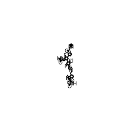 Cc1nn([C@@H]2CCC(=O)NC2=O)c2cccc(CCN3CCN(c4cc(Cl)c(-c5cc(C6=CCCN(C(=O)CCn7cccn7)C6)c(F)c6[nH]c(C(=O)N(C)C)cc56)cc4F)CC3)c12